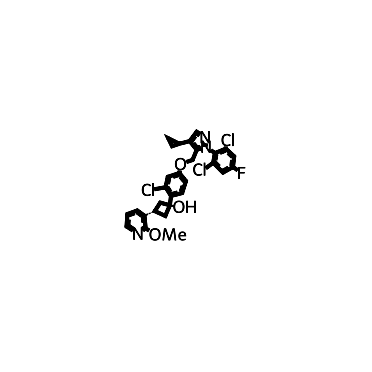 COc1ncccc1[C@H]1C[C@](O)(c2ccc(OCc3c(C4CC4)cnn3-c3c(Cl)cc(F)cc3Cl)cc2Cl)C1